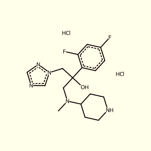 CN(CC(O)(Cn1cncn1)c1ccc(F)cc1F)C1CCNCC1.Cl.Cl